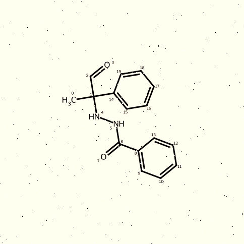 CC(C=O)(NNC(=O)c1ccccc1)c1ccccc1